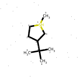 C[SH]1CCC(C(C)(C)C)C1